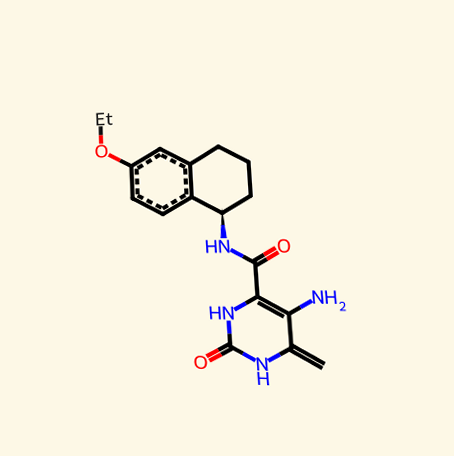 C=C1NC(=O)NC(C(=O)N[C@@H]2CCCc3cc(OCC)ccc32)=C1N